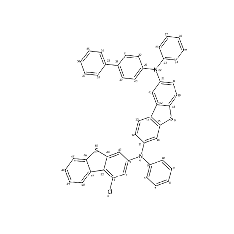 Clc1cc(N(c2ccccc2)c2ccc3c(c2)sc2ccc(N(c4ccccc4)c4ccc(-c5ccccc5)cc4)cc23)cc2sc3ccccc3c12